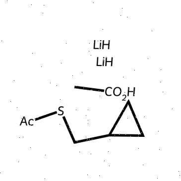 CC(=O)O.CC(=O)SCC1CC1.[LiH].[LiH]